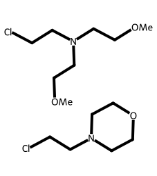 COCCN(CCCl)CCOC.ClCCN1CCOCC1